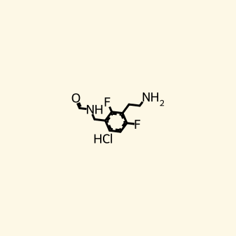 Cl.NCCc1c(F)ccc(CNC=O)c1F